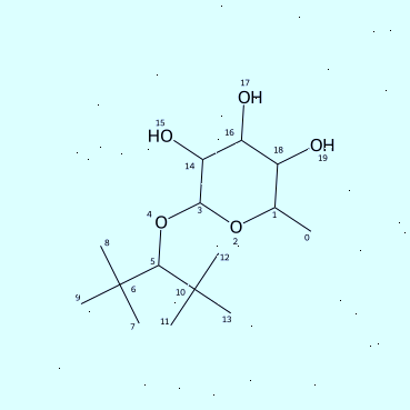 CC1OC(OC(C(C)(C)C)C(C)(C)C)C(O)C(O)C1O